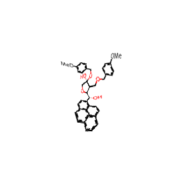 COc1ccc(COCC2C([C@H](O)c3ccc4ccc5cccc6ccc3c4c56)OC[C@@]2(O)OCc2ccc(OC)cc2)cc1